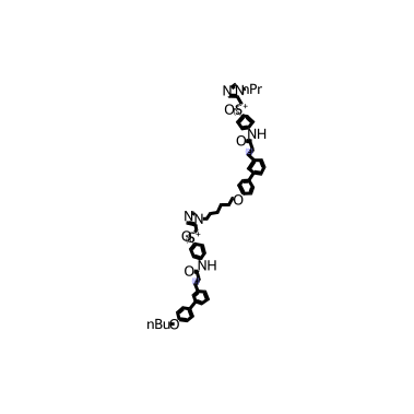 CCCCOc1ccc(-c2cccc(/C=C/C(=O)Nc3ccc([S@@+]([O-])Cc4cncn4CCCCCCOc4ccc(-c5cccc(/C=C/C(=O)Nc6ccc([S@+]([O-])Cc7cncn7CCC)cc6)c5)cc4)cc3)c2)cc1